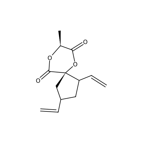 C=CC1CC(C=C)[C@@]2(C1)OC(=O)[C@H](C)OC2=O